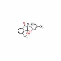 CC(=O)NC12C(=O)c3cccc([N+](=O)[O-])c3C1(O)Oc1cc(C(F)(F)F)ccc12